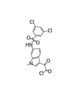 Cn1cc(C(=O)C(=O)Cl)c2ccc(NS(=O)(=O)c3cc(Cl)cc(Cl)c3)cc21